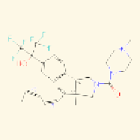 C=C(/C=C\C=C/C)[C@@]1(C)CN(C(=O)N2CCN(C)CC2)C[C@H]1c1ccc(C(O)(C(F)(F)F)C(F)(F)F)cc1